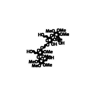 COC1C(OC)[C@@H](OC)C(CCO)O[C@H]1O[C@H]1C(CCO)O[C@@H](OCCO[C@@H]2OC(CCO)[C@H](O[C@@H]3OC(CCO)[C@@H](OC)[C@@H](OC)C3OC)[C@@H](OC)C2OC)C(O)C1OC